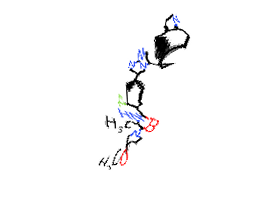 CO[C@@H]1CCN(C(=O)C(C)NC(=O)c2ccc(-c3cnc4ncc(C5(c6ccc7ncccc7c6)C=C5)n4c3)cc2F)C1